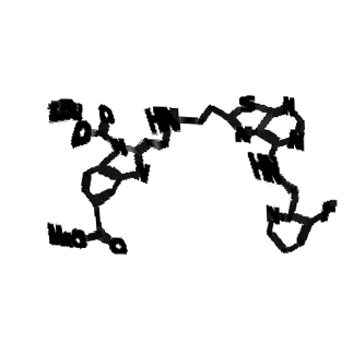 COC(=O)c1ccc2c(c1)nc(CCNCCc1nc3c(NCc4ncccc4F)ncnc3s1)n2C(=O)OC(C)(C)C